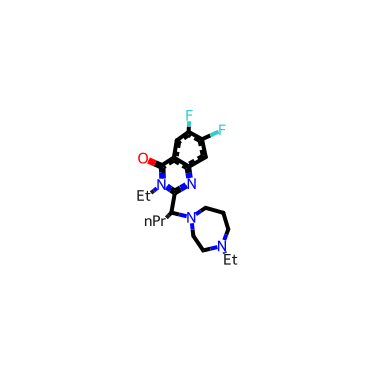 CCCC(c1nc2cc(F)c(F)cc2c(=O)n1CC)N1CCCN(CC)CC1